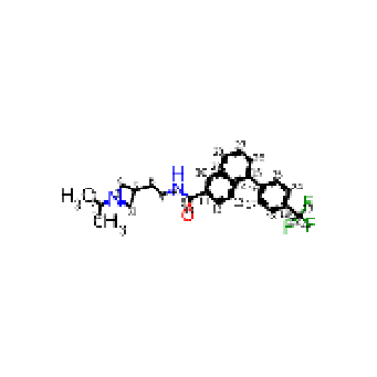 CC(C)N1CC(CCNC(=O)c2ccc3c(-c4ccc(C(F)(F)F)cc4)cccc3c2)C1